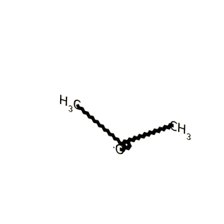 CCCCCCCCCCCCCCCCCCc1ccc(C[O])c(CCCCCCCCCCCCCCCCCC)c1